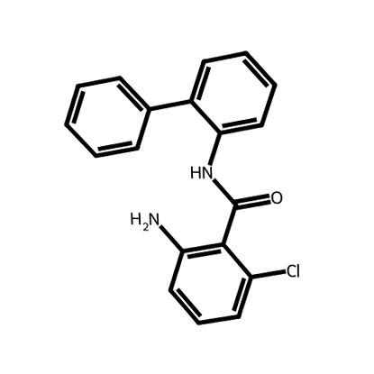 Nc1cccc(Cl)c1C(=O)Nc1ccccc1-c1ccccc1